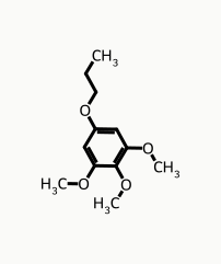 CCCOc1cc(OC)c(OC)c(OC)c1